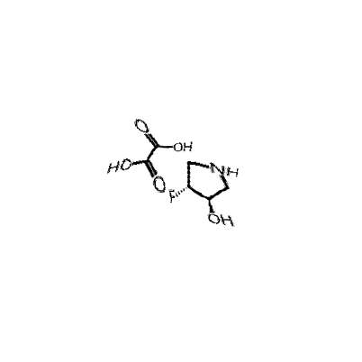 O=C(O)C(=O)O.O[C@@H]1CNC[C@H]1F